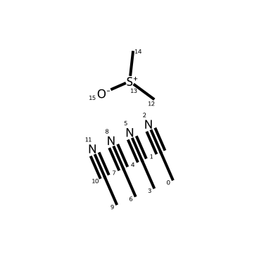 CC#N.CC#N.CC#N.CC#N.C[S+](C)[O-]